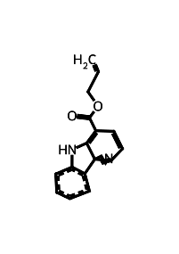 C=CCOC(=O)C1=C2Nc3ccccc3C23C=CN=C3C=C1